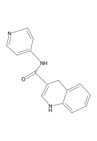 O=C(Nc1ccncc1)C1=CNc2ccccc2C1